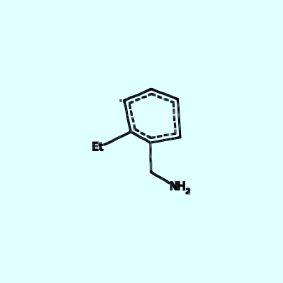 CCc1[c]cccc1CN